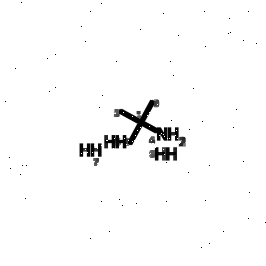 CC(C)(C)N.[HH].[HH].[HH]